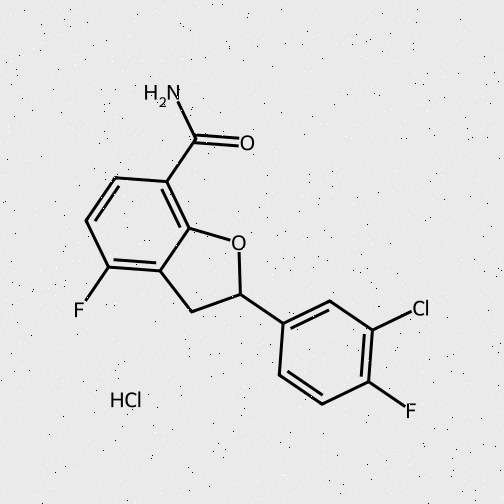 Cl.NC(=O)c1ccc(F)c2c1OC(c1ccc(F)c(Cl)c1)C2